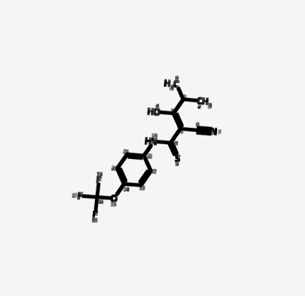 CC(C)C(O)=C(C#N)C(=S)Nc1ccc(OC(F)(F)F)cc1